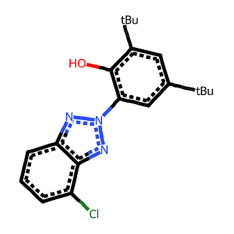 CC(C)(C)c1cc(-n2nc3cccc(Cl)c3n2)c(O)c(C(C)(C)C)c1